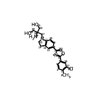 Cc1ccc(-c2nc(-c3ccc4c(c3)CCN4CC(N)(CO)CO)no2)cc1Cl